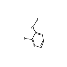 IOc1cccnc1I